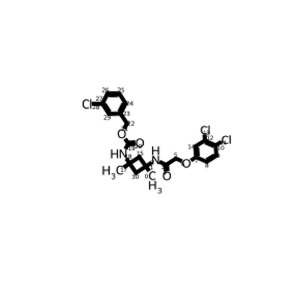 CC1(NC(=O)COc2ccc(Cl)c(Cl)c2)CC(C)(NC(=O)OCc2cccc(Cl)c2)C1